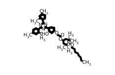 CCCCCCCCON1C(C)(C)CC(OC(=O)COc2ccc(-c3nc(-c4ccc(C)cc4C)nc(-c4ccc(C)cc4C)n3)c(O)c2)CC1(C)C